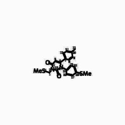 CSCn1c(=O)cc(-c2ccc(C)cc2)n(-c2ccc(SC)cc2)c1=O